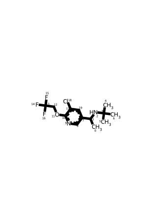 CC(NC(C)(C)C)c1cnc(OCC(F)(F)F)c(Cl)c1